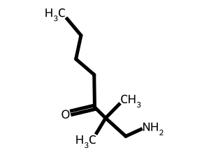 CCCCC(=O)C(C)(C)CN